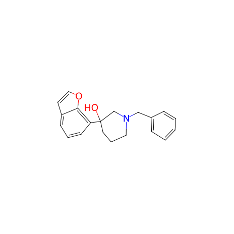 OC1(c2cccc3ccoc23)CCCN(Cc2ccccc2)C1